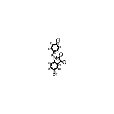 O=C1C(=O)N(Cc2ccc(Cl)cc2)c2ccc(Br)cc21